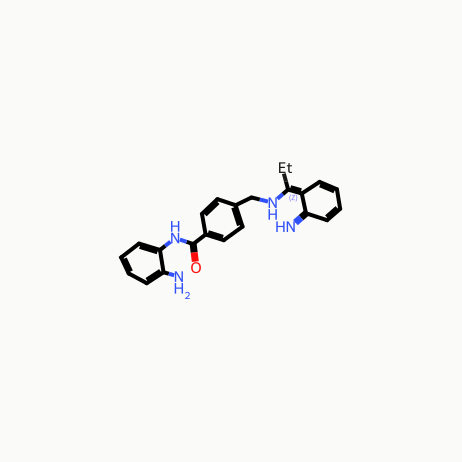 CC/C(NCc1ccc(C(=O)Nc2ccccc2N)cc1)=C1\C=CC=CC1=N